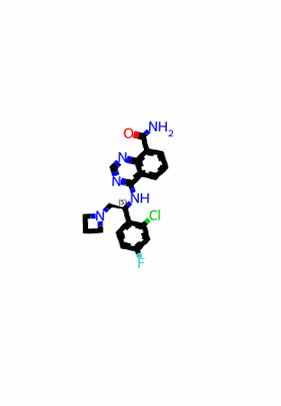 NC(=O)c1cccc2c(N[C@H](CN3CCC3)c3ccc(F)cc3Cl)ncnc12